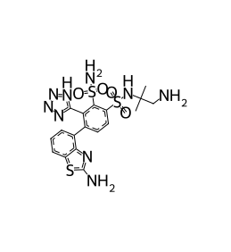 CC(C)(CN)NS(=O)(=O)c1ccc(-c2cccc3sc(N)nc23)c(-c2nnn[nH]2)c1S(N)(=O)=O